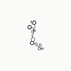 O=C(O)COc1cccc2c1CCC(=CCON=C(Cc1cccnc1)c1ccccc1)C2